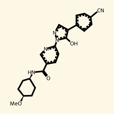 CO[C@H]1CC[C@@H](NC(=O)c2ccc(-n3ncc(-c4ccc(C#N)cc4)c3O)nc2)CC1